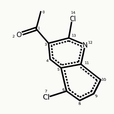 CC(=O)c1cc2c(Cl)cccc2nc1Cl